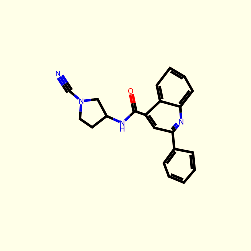 N#CN1CCC(NC(=O)c2cc(-c3ccccc3)nc3ccccc23)C1